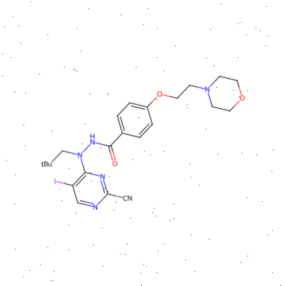 CC(C)(C)CN(NC(=O)c1ccc(OCCN2CCOCC2)cc1)c1nc(C#N)ncc1I